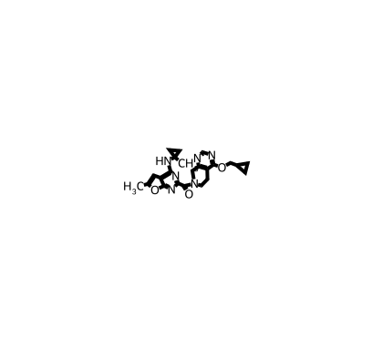 Cc1cc2c(NC3(C)CC3)nc(C(=O)N3CCc4c(ncnc4OCC4CC4)C3)nc2o1